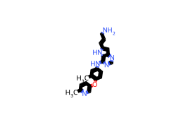 Cc1ccc(Oc2ccc(Nc3ncnc4cc(C=CCN)[nH]c34)cc2C)cn1